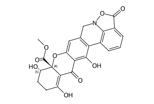 COC(=O)[C@@]12Oc3cc4c(c(O)c3C(=O)C1=C(O)CC[C@@H]2O)-c1cccc2c(=O)on(c12)C4